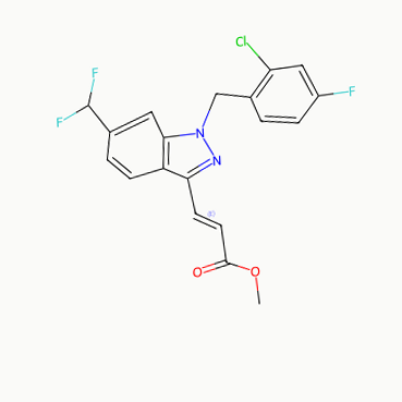 COC(=O)/C=C/c1nn(Cc2ccc(F)cc2Cl)c2cc(C(F)F)ccc12